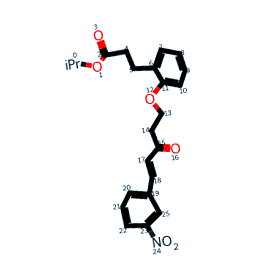 CC(C)OC(=O)CCc1ccccc1OCCC(=O)C=Cc1cccc([N+](=O)[O-])c1